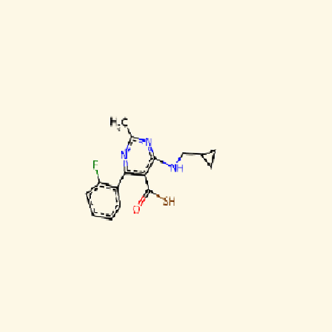 Cc1nc(NCC2CC2)c(C(=O)S)c(-c2ccccc2F)n1